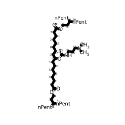 CCCCCC(CCCCC)CCOC(=O)CCCCCCCC(CCCCCCCC(=O)OCCC(CCCCC)CCCCC)OC(=S)NCCCN(C)C